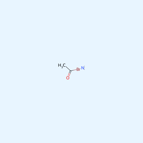 CC(=O)Br.[N]